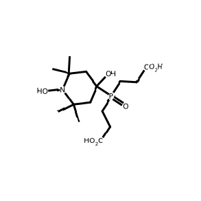 CC1(C)CC(O)(P(=O)(CCC(=O)O)CCC(=O)O)CC(C)(C)N1O